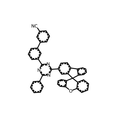 N#Cc1cccc(-c2cccc(-c3nc(-c4ccccc4)nc(-c4ccc5c(c4)C4(c6ccccc6Oc6ccccc64)c4ccccc4-5)n3)c2)c1